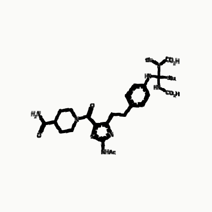 CC(=O)Nc1nc(CCc2ccc(NC(NC(=O)O)(N(C(=O)O)C(C)(C)C)C(C)(C)C)cc2)c(C(=O)N2CCC(C(N)=O)CC2)s1